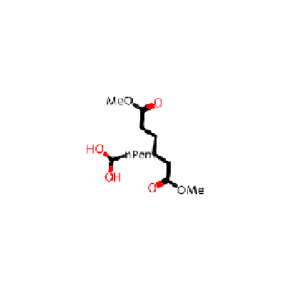 CCCCCC(O)O.COC(=O)CCCCC(=O)OC